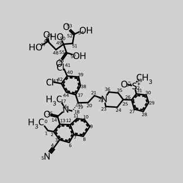 CCc1c(C#N)cc2ccccc2c1C(=O)N(C)C[C@@H](CCN1CCC(c2ccccc2[S+](C)[O-])CC1)c1ccc(Cl)c(Cl)c1.O=C(O)CC(O)(CC(=O)O)C(=O)O